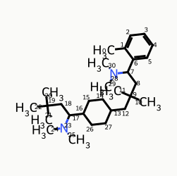 Cc1ccccc1C(CC(C)(C)CC1CCC(C(CC(C)(C)C)N(C)C)CC1)N(C)C